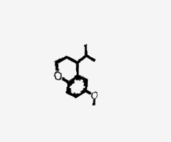 COc1ccc2c(c1)C(C(C)C)CCO2